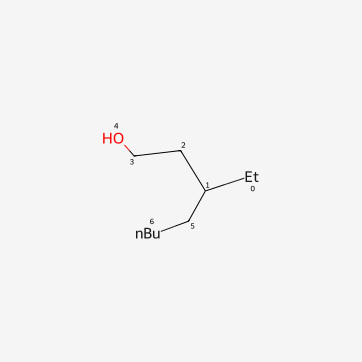 [CH2]CC(CCO)CCCCC